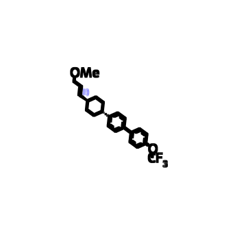 COC/C=C/[C@H]1CC[C@H](c2ccc(-c3ccc(OC(F)(F)F)cc3)cc2)CC1